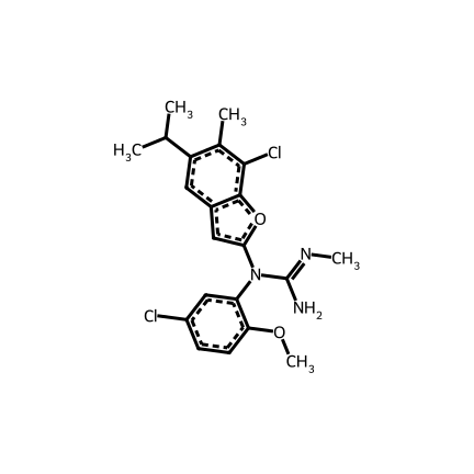 CN=C(N)N(c1cc2cc(C(C)C)c(C)c(Cl)c2o1)c1cc(Cl)ccc1OC